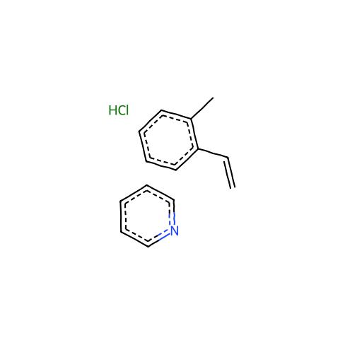 C=Cc1ccccc1C.Cl.c1ccncc1